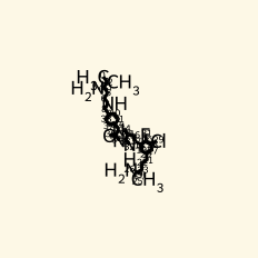 CC(C)[C@@H](N)CCNCc1ccc(-n2cc3cc(-c4cc(CCC[C@H](C)N)cc(Cl)c4F)[nH]c3nc2=O)cc1